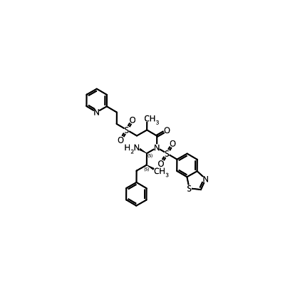 CC(CS(=O)(=O)CCc1ccccn1)C(=O)N([C@H](N)[C@@H](C)Cc1ccccc1)S(=O)(=O)c1ccc2ncsc2c1